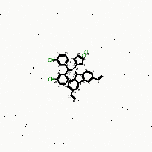 C=Cc1ccc2c(c1)-c1cc(C=C)ccc1[CH]2[Zr+2]([C]1=CC=CC1)=[C](c1cccc(Cl)c1)c1cccc(Cl)c1.[Cl-].[Cl-]